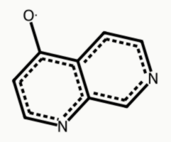 [O]c1ccnc2cnccc12